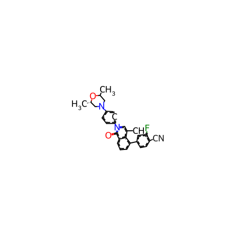 Cc1cn(-c2ccc(N3CC(C)O[C@@H](C)C3)cc2)c(=O)c2cccc(-c3ccc(C#N)c(F)c3)c12